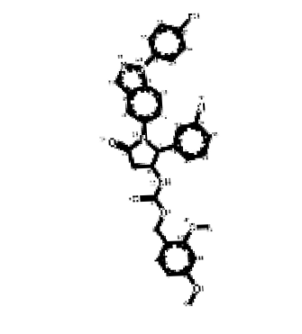 COc1ccc(COC(=O)NC2CC(=O)N(c3ccc4c(cnn4-c4ccc(F)cc4)c3)C2c2cccc(Cl)c2)c(OC)c1